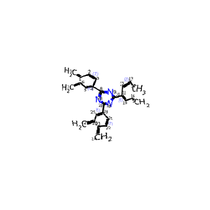 C=C/C=C\C(=C/C=C)c1nc(C(/C=C\C)=C/C=C)nc(C(/C=C\C=C)=C/C=C)n1